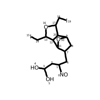 O=NC(CC(O)O)CC1CC2OC1C1C(CI)OC(CI)C21